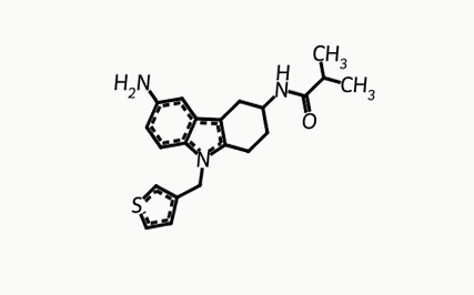 CC(C)C(=O)NC1CCc2c(c3cc(N)ccc3n2Cc2ccsc2)C1